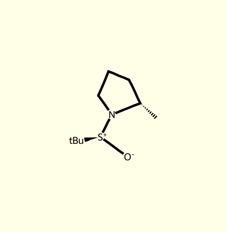 C[C@H]1CCCN1[S@@+]([O-])C(C)(C)C